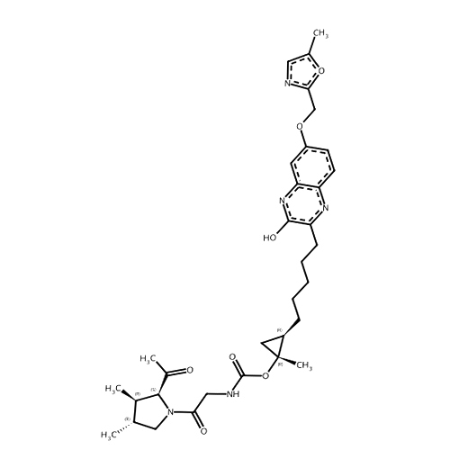 CC(=O)[C@@H]1[C@H](C)[C@@H](C)CN1C(=O)CNC(=O)O[C@]1(C)C[C@H]1CCCCCc1nc2ccc(OCc3ncc(C)o3)cc2nc1O